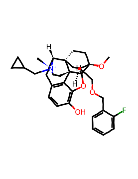 CO[C@]12CC[C@@]3(C[C@@H]1COCc1ccccc1F)[C@H]1Cc4ccc(O)c5c4[C@@]3(CC[N@+]1(C)CC1CC1)[C@H]2O5